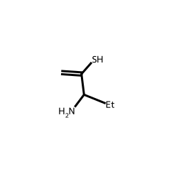 C=C(S)C(N)CC